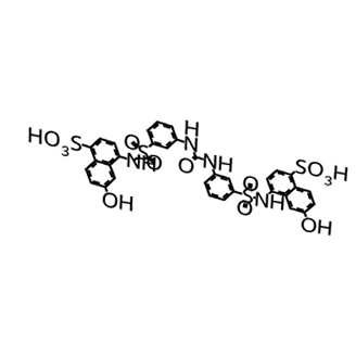 O=C(Nc1cccc(S(=O)(=O)Nc2ccc(S(=O)(=O)O)c3ccc(O)cc23)c1)Nc1cccc(S(=O)(=O)Nc2ccc(S(=O)(=O)O)c3ccc(O)cc23)c1